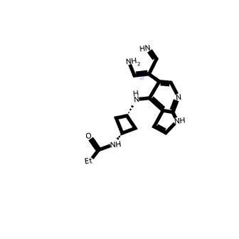 CCC(=O)N[C@H]1C[C@@H](Nc2c(/C(C=N)=C/N)cnc3[nH]ccc23)C1